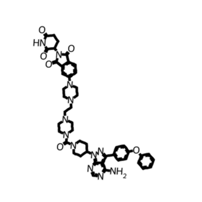 Nc1ncnc2c1c(-c1ccc(Oc3ccccc3)cc1)nn2C1CCN(C(=O)N2CCN(CCN3CCN(c4ccc5c(c4)C(=O)N(C4CCC(=O)NC4=O)C5=O)CC3)CC2)CC1